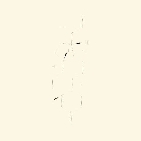 C[C@]12CC=C3[C@@H](CC[C@H]4CC(=O)CC[C@]34C)[C@@H]1CC[C@]2(O)C(=O)CO